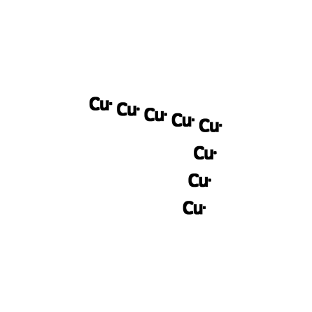 [Cu].[Cu].[Cu].[Cu].[Cu].[Cu].[Cu].[Cu]